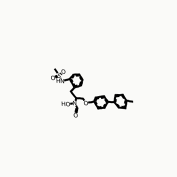 Cc1ccc(-c2ccc(OCC(Cc3ccccc3NS(C)(=O)=O)N(O)C=O)cc2)cc1